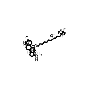 C[C@]12CCC(=O)C[C@@H]1CC[C@@H]1[C@@H]2[C@@H](OCCCCCCC[S+]([O-])CCCC(F)(F)C(F)(F)F)C[C@]2(C)[C@@H](O)CC[C@@H]12